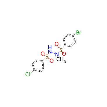 CN(NS(=O)(=O)c1ccc(Cl)cc1)S(=O)(=O)c1ccc(Br)cc1